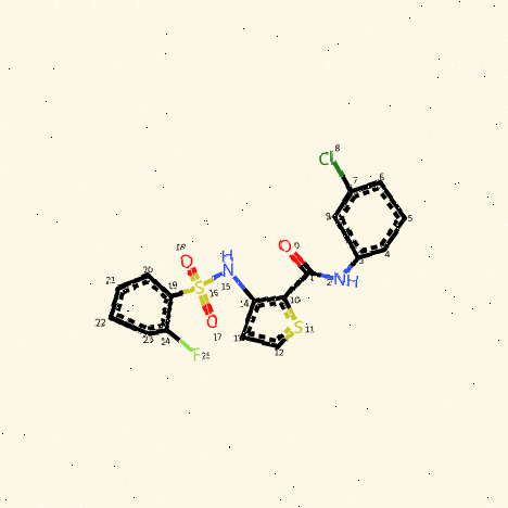 O=C(Nc1cccc(Cl)c1)c1sccc1NS(=O)(=O)c1ccccc1F